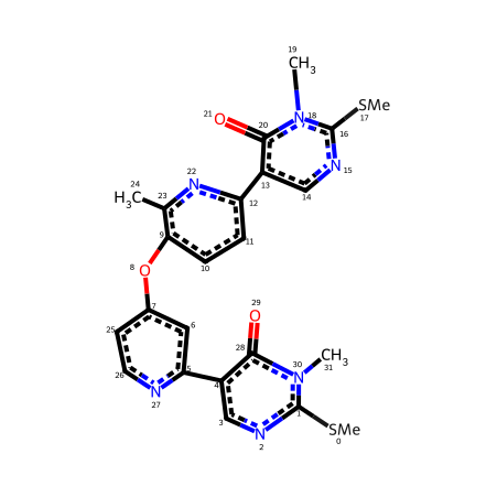 CSc1ncc(-c2cc(Oc3ccc(-c4cnc(SC)n(C)c4=O)nc3C)ccn2)c(=O)n1C